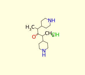 CC(C(=O)C(C)C1CCNCC1)C1CCNCC1.Cl